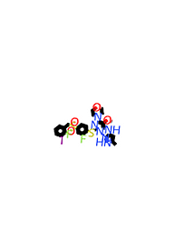 COc1c(Nc2cc(C)[nH]n2)nc(Sc2ccc(S(=O)(=O)Cc3cccc(I)c3F)cc2F)nc1N1CCOCC1